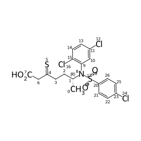 C[C@H](CCC(=S)CC(=O)O)N(c1cc(Cl)ccc1Cl)S(=O)(=O)c1ccc(Cl)cc1